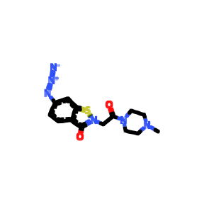 CN1CCN(C(=O)Cn2sc3cc(N=[N+]=[N-])ccc3c2=O)CC1